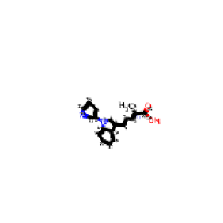 C/C(=C\CCc1cn(-c2cccnc2)c2ccccc12)C(=O)O